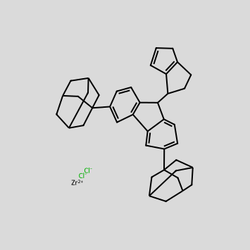 C1=CC2=C(C1)CCC2C1c2ccc(C34CC5CC(CC(C5)C3)C4)cc2-c2cc(C34CC5CC(CC(C5)C3)C4)ccc21.[Cl-].[Cl-].[Zr+2]